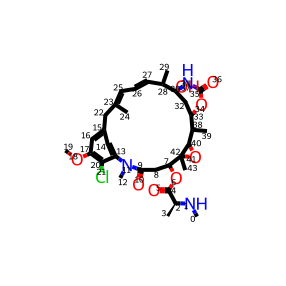 CN[C@@H](C)C(=O)OC1CC(=O)N(C)c2cc(cc(OC)c2Cl)C/C(C)=C/C=C/C(C)C2(O)CC(OC(=O)N2)C(C)C2OC12C